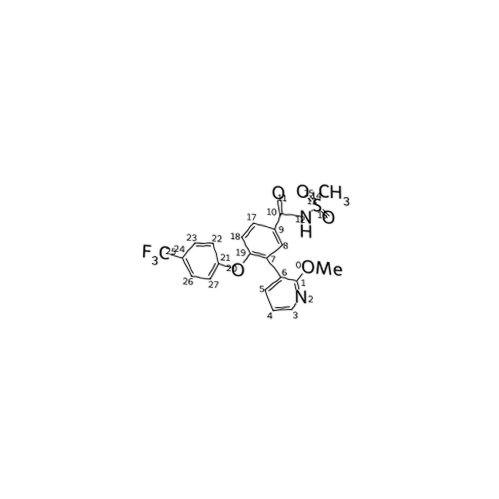 COc1ncccc1-c1cc(C(=O)NS(C)(=O)=O)ccc1Oc1ccc(C(F)(F)F)cc1